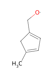 CC1=CC=C(C[O])C1